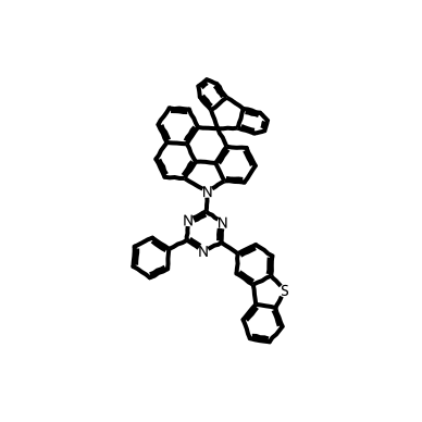 c1ccc(-c2nc(-c3ccc4sc5ccccc5c4c3)nc(-n3c4cccc5c4c4c6c(cccc6ccc43)C53c4ccccc4-c4ccccc43)n2)cc1